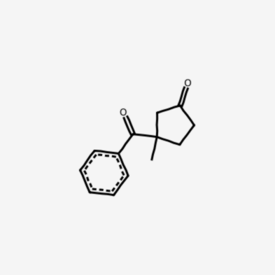 CC1(C(=O)c2ccccc2)CCC(=O)C1